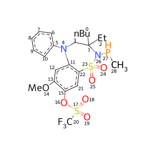 CCCCC1(CC)CN(c2ccccc2)c2cc(OC)c(OS(=O)(=O)C(F)(F)F)cc2S(=O)(=O)N1PC